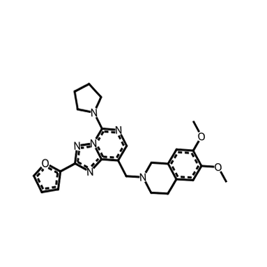 COc1cc2c(cc1OC)CN(Cc1cnc(N3CCCC3)n3nc(-c4ccco4)nc13)CC2